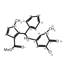 COC(=O)c1ccn(C)c1C(Nc1cc(Cl)c(=O)n(C)c1)c1ccccc1